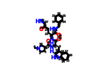 CN1CC[C@@H](C(=O)N[C@@H](Cc2c[nH]c3ccccc23)C(=O)N[C@@H](CCC(=O)C=N)C(=O)NCc2ccccc2)C1